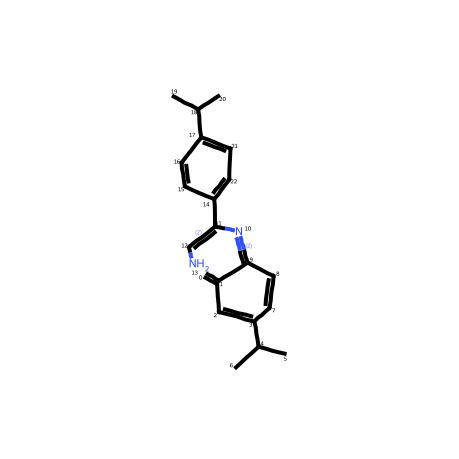 C=C1C=C(C(C)C)C=C/C1=N/C(=C\N)c1ccc(C(C)C)cc1